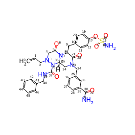 C=CCN1CC(=O)N2[C@@H](Cc3ccc(OS(N)(=O)=O)cc3)C(=O)N(Cc3cccc(C(N)=O)c3)C[C@@H]2N1C(=O)NCc1ccccc1